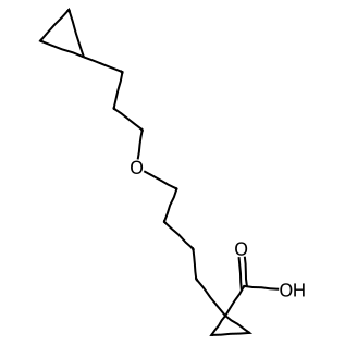 O=C(O)C1(CCCCOCCCC2CC2)CC1